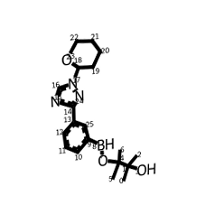 CC(C)(O)C(C)(C)OBc1cccc(-c2ncn(C3CCCCO3)n2)c1